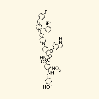 CC(C)c1ccccc1C1CN(Cc2ccc(F)cc2)CCN1C1CC2(CCN(c3ccc(C(=O)NS(=O)(=O)c4ccc(NC[C@H]5CC[C@](C)(O)CC5)c([N+](=O)[O-])c4)c(Oc4cnc5[nH]ccc5c4)c3)CC2)C1